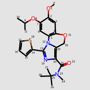 COc1cc2c(cc1OC(C)C)-n1c(-c3cccs3)nc(C(=O)N(C)C(C)(C)C)c1CO2